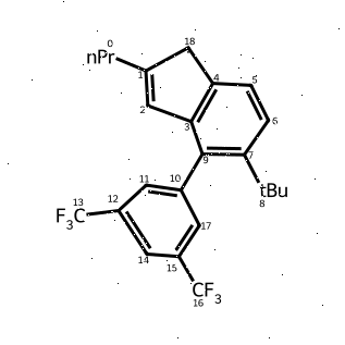 CCCC1=Cc2c(ccc(C(C)(C)C)c2-c2cc(C(F)(F)F)cc(C(F)(F)F)c2)[CH]1